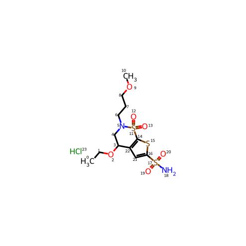 CCOC1CN(CCCOC)S(=O)(=O)c2sc(S(N)(=O)=O)cc21.Cl